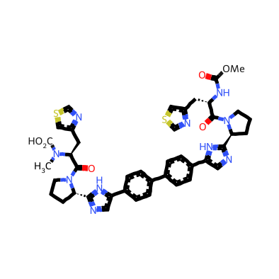 COC(=O)N[C@@H](Cc1cscn1)C(=O)N1CCC[C@H]1c1ncc(-c2ccc(-c3ccc(-c4cnc([C@@H]5CCCN5C(=O)[C@H](Cc5cscn5)N(C)C(=O)O)[nH]4)cc3)cc2)[nH]1